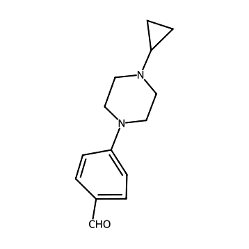 O=Cc1ccc(N2CCN(C3CC3)CC2)cc1